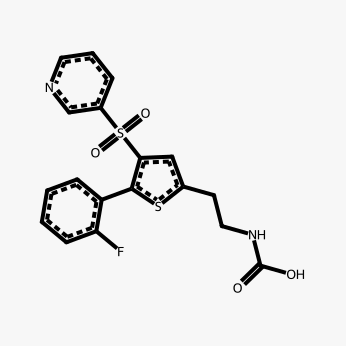 O=C(O)NCCc1cc(S(=O)(=O)c2cccnc2)c(-c2ccccc2F)s1